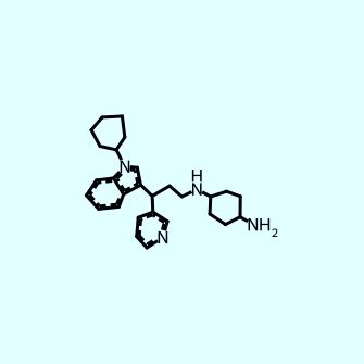 NC1CCC(NCCC(c2cccnc2)c2cn(C3CCCCC3)c3ccccc23)CC1